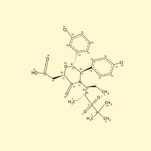 CC[C@@H]([C@@H](C)S(=O)(=O)C(C)(C)C)N1C(=O)[C@@H](CC(=O)O)O[C@H](c2cccc(Cl)c2)[C@H]1c1ccc(Cl)cc1